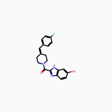 O=C(c1nc2ccc(O)cc2[nH]1)N1CCC(=Cc2ccc(F)cc2)CC1